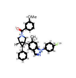 COc1cccc(C(=O)N2C[C@H]3[C@H](c4ccccc4)[C@@]3(c3cc4cnn(-c5ccc(F)cc5)c4cc3C)C2)c1